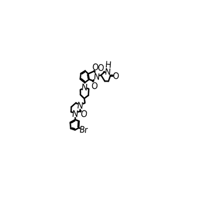 O=C1CCC(N2C(=O)c3cccc(N4CCC(CN5CCCN(c6cccc(Br)c6)C5=O)CC4)c3C2=O)C(=O)N1